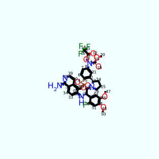 CCS(=O)(=O)c1ccc(N(OC(=O)C(F)(F)F)C(=O)OC)cc1[C@H]1CCCN1C(=O)[C@H](Nc1ccc2c(N)nccc2c1)c1cc(OC)c(OC)cc1F